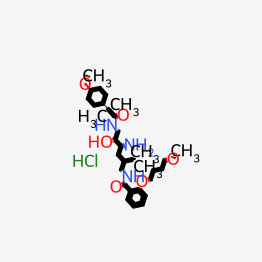 COCCCCOc1ccccc1C(=O)NCC(CC(N)C(O)CNC(=O)C(C)(C)[C@H]1CC[C@H](OC)CC1)C(C)C.Cl